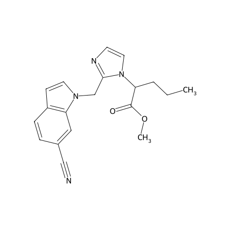 CCCC(C(=O)OC)n1ccnc1Cn1ccc2ccc(C#N)cc21